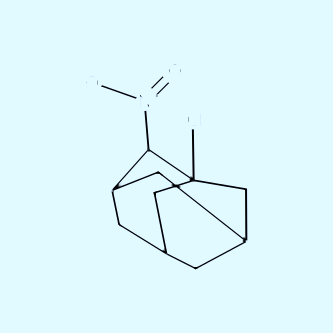 CC12CC3CC(CC(C3)C1[N+](=O)[O-])C2